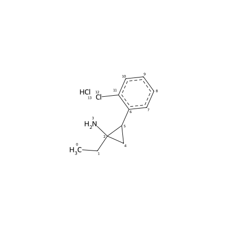 CCC1(N)CC1c1ccccc1Cl.Cl